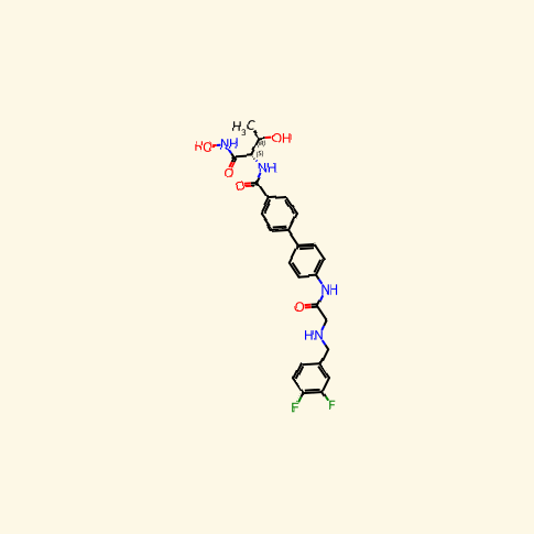 C[C@@H](O)[C@H](NC(=O)c1ccc(-c2ccc(NC(=O)CNCc3ccc(F)c(F)c3)cc2)cc1)C(=O)NO